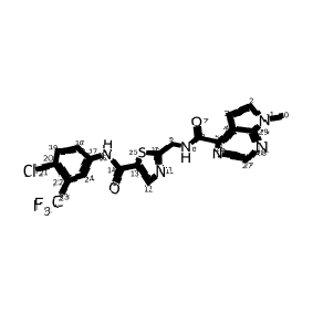 Cn1ccc2c(C(=O)NCc3ncc(C(=O)Nc4ccc(Cl)c(C(F)(F)F)c4)s3)ncnc21